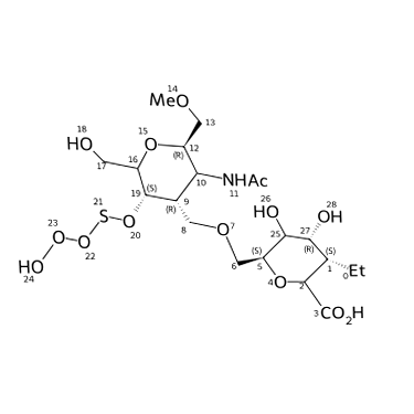 CC[C@@H]1C(C(=O)O)O[C@@H](COC[C@H]2C(NC(C)=O)[C@H](COC)OC(CO)[C@H]2OSOOO)C(O)[C@@H]1O